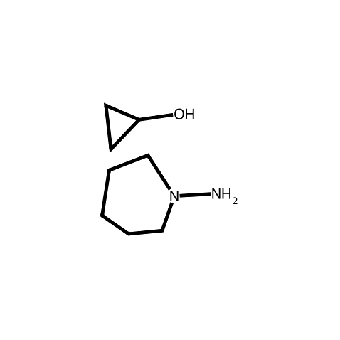 NN1CCCCC1.OC1CC1